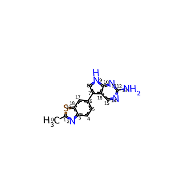 Cc1nc2ccc(-c3c[nH]c4nc(N)ncc34)cc2s1